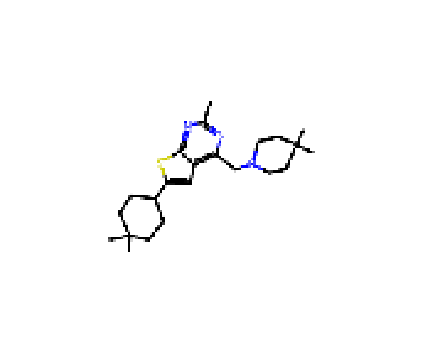 Cc1nc(CN2CCC(C)(C)CC2)c2cc(C3CCC(C)(C)CC3)sc2n1